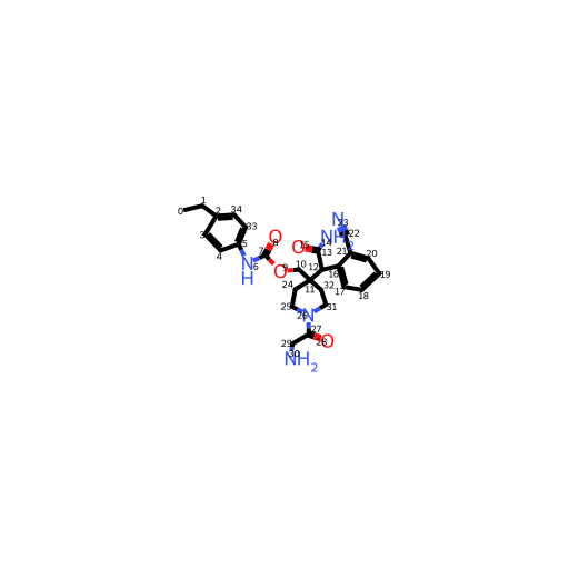 CCc1ccc(NC(=O)OCC2(C(C(N)=O)c3ccccc3C#N)CCN(C(=O)CN)CC2)cc1